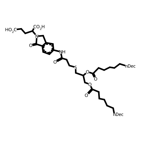 CCCCCCCCCCCCCCCC(=O)OCC(CSCCC(=O)Nc1ccc2c(c1)CN(C(CCC(=O)O)C(=O)O)C2=O)OC(=O)CCCCCCCCCCCCCCC